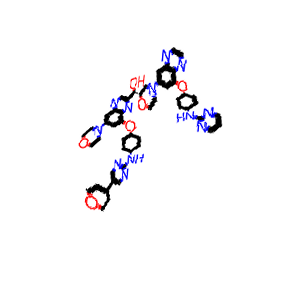 OC(c1cnc2cc(N3CCOCC3)cc(O[C@H]3CC[C@@H](Nc4ncc(C5=CCOCC5)cn4)CC3)c2n1)[C@@H]1CN(c2cc(O[C@H]3CC[C@@H](Nc4ncccn4)CC3)c3nccnc3c2)CCO1